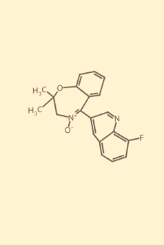 CC1(C)C[N+]([O-])=C(c2cnc3c(F)cccc3c2)c2ccccc2O1